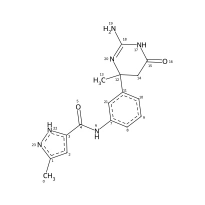 Cc1cc(C(=O)Nc2cccc(C3(C)CC(=O)NC(N)=N3)c2)[nH]n1